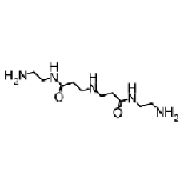 NCCNC(=O)CCNCCC(=O)NCCN